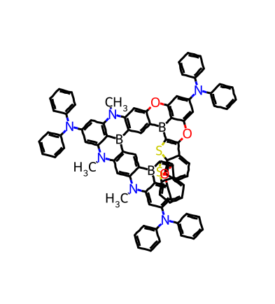 CN1c2cc3c(cc2B2c4sc5ccccc5c4Oc4cc(N(c5ccccc5)c5ccccc5)cc1c42)B1c2cc4c(cc2N(C)c2cc(N(c5ccccc5)c5ccccc5)cc(c21)N3C)Oc1cc(N(c2ccccc2)c2ccccc2)cc2c1B4c1sc3ccccc3c1O2